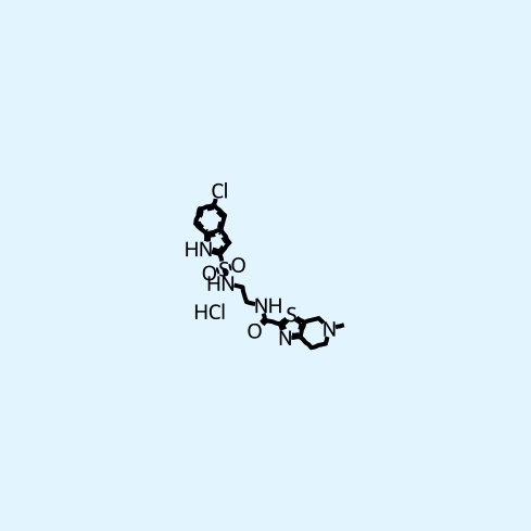 CN1CCc2nc(C(=O)NCCNS(=O)(=O)c3cc4cc(Cl)ccc4[nH]3)sc2C1.Cl